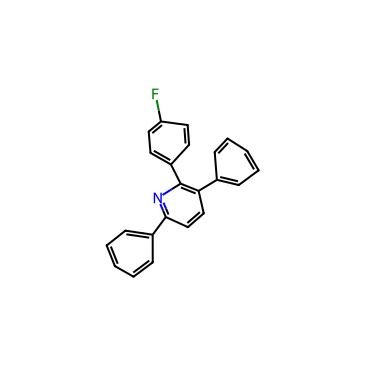 Fc1ccc(-c2nc(-c3ccccc3)ccc2-c2ccccc2)cc1